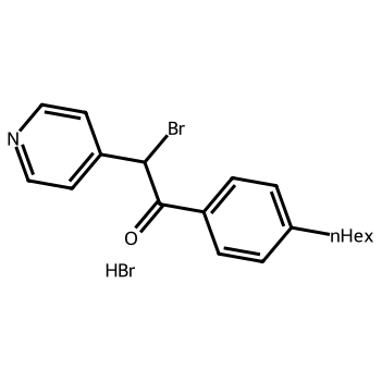 Br.CCCCCCc1ccc(C(=O)C(Br)c2ccncc2)cc1